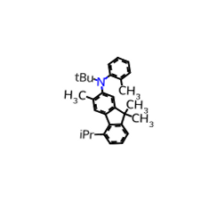 Cc1ccccc1N(c1cc2c(cc1C)-c1c(C(C)C)cccc1C2(C)C)C(C)(C)C